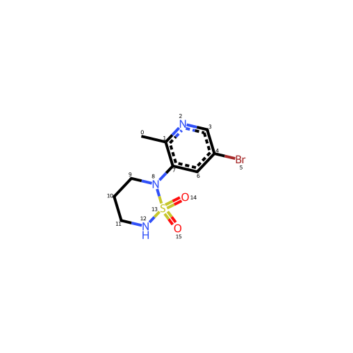 Cc1ncc(Br)cc1N1CCCNS1(=O)=O